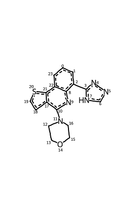 c1cc(-c2nnc[nH]2)c2nc(N3CCOCC3)c3ccsc3c2c1